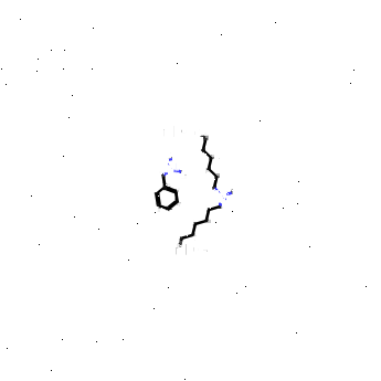 CCCCCCCCCCCCCCCCN(C)CCCCCCCCCCCCCCCC.CN(C)Cc1ccccc1